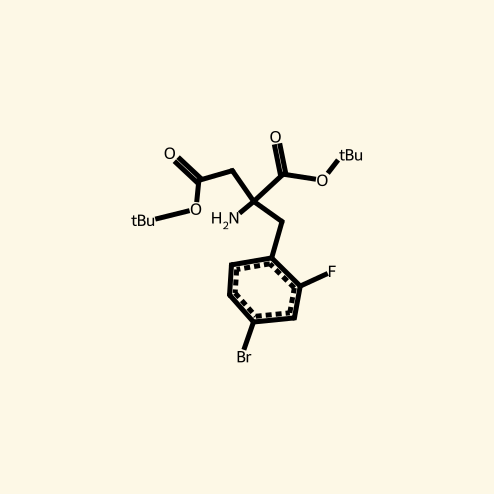 CC(C)(C)OC(=O)CC(N)(Cc1ccc(Br)cc1F)C(=O)OC(C)(C)C